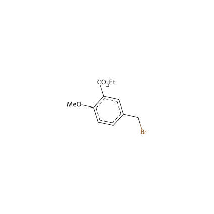 CCOC(=O)c1cc(CBr)ccc1OC